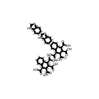 O=C(O)c1c(C(=O)O)c(C(=O)O)c2ccccc2c1C(=O)O.O=C(O)c1c(C(=O)O)c(C(=O)O)c2ccccc2c1C(=O)O.c1ccc2[nH]cnc2c1.c1ccc2[nH]cnc2c1